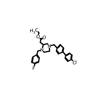 CCOC(=O)CC1CN(Cc2ccc(-c3ccc(Cl)cc3)cc2)CCN1Cc1ccc(F)cc1